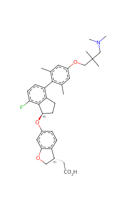 Cc1cc(OCC(C)(C)CN(C)C)cc(C)c1-c1ccc(F)c2c1CC[C@H]2Oc1ccc2c(c1)OC[C@H]2CC(=O)O